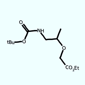 CCOC(=O)COC(C)CNC(=O)OC(C)(C)C